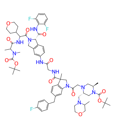 CC1COCCN1C[C@H]1CN(C(=O)OC(C)(C)C)[C@H](C)CN1CC(=O)N1CC(C)(C(=O)NCC(=O)Nc2ccc3c(c2)CN(C(=O)C(NC(=O)C(C)N(C)C(=O)OC(C)(C)C)C2CCOCC2)[C@@H]3C(=O)Nc2c(F)cccc2F)c2ccc(Cc3ccc(F)cc3)cc21